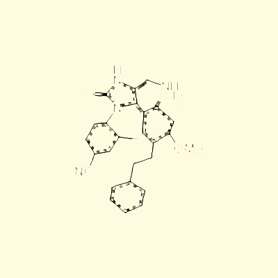 C=c1cc(OC)c(CCc2ccccc2)c/c1=c1/c(=C\N)[nH]c(=O)n1-c1ccc(C#N)cc1F